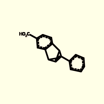 O=C(O)c1ccc2c(c1)C1C=C(c3ccccc3)C2C1